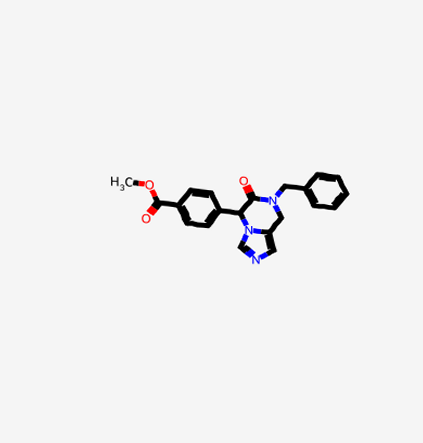 COC(=O)c1ccc(C2C(=O)N(Cc3ccccc3)Cc3cncn32)cc1